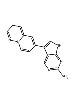 Nc1ncc2c(C3=CC4=CCC=NN4C=C3)c[nH]c2n1